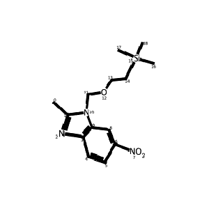 Cc1nc2ccc([N+](=O)[O-])cc2n1COCC[Si](C)(C)C